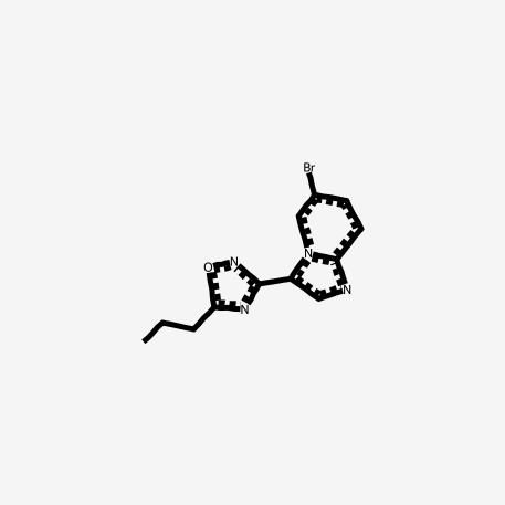 CCCc1nc(-c2cnc3ccc(Br)cn23)no1